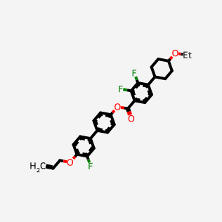 C=CCOc1ccc(-c2ccc(OC(=O)c3ccc(C4CCC(OCC)CC4)c(F)c3F)cc2)cc1F